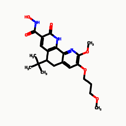 COCCCOc1cc2c(nc1OC)-c1[nH]c(=O)c(C(=O)NO)cc1C(C(C)(C)C)C2